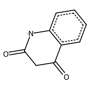 O=C1CC(=O)c2ccccc2[N]1